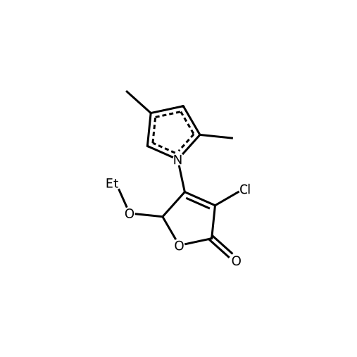 CCOC1OC(=O)C(Cl)=C1n1cc(C)cc1C